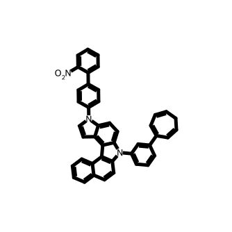 O=[N+]([O-])c1ccccc1-c1ccc(-n2ccc3c4c5c6ccccc6ccc5n(-c5cccc(C6=CC=CCC=C6)c5)c4ccc32)cc1